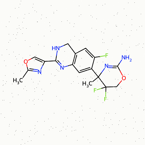 Cc1nc(C2=Nc3cc(C4(C)N=C(N)OCC4(F)F)c(F)cc3CN2)co1